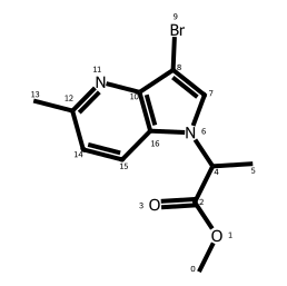 COC(=O)C(C)n1cc(Br)c2nc(C)ccc21